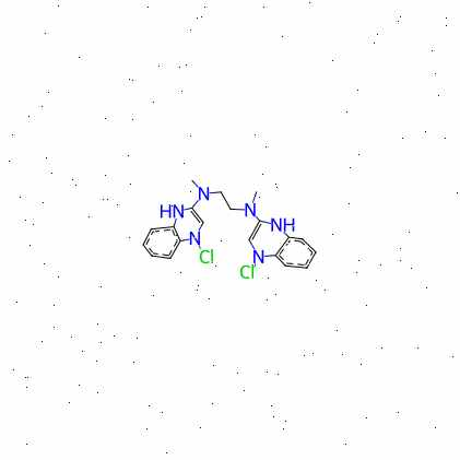 CN(CCN(C)C1=CN(Cl)c2ccccc2N1)C1=CN(Cl)c2ccccc2N1